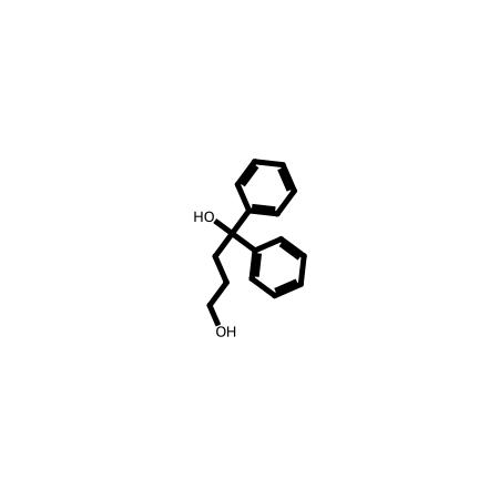 OCCCC(O)(c1ccccc1)c1ccccc1